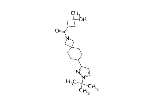 CC1(O)CC(C(=O)N2CC3(CCC(c4ccn(C(C)(C)C)n4)CC3)C2)C1